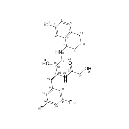 CCc1ccc2c(c1)C(NC[C@@H](O)[C@H](Cc1cc(F)cc(F)c1)NC(=O)CO)CCC2